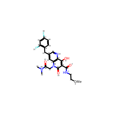 COCCNC(=O)c1c(O)c2ncc(Cc3ccc(F)cc3F)cc2n(CC(=O)N(C)C)c1=O